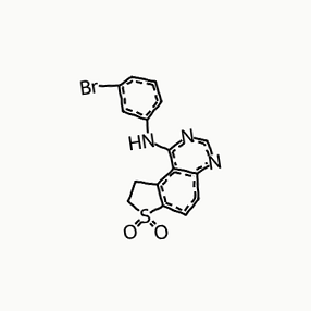 O=S1(=O)CCc2c1ccc1ncnc(Nc3cccc(Br)c3)c21